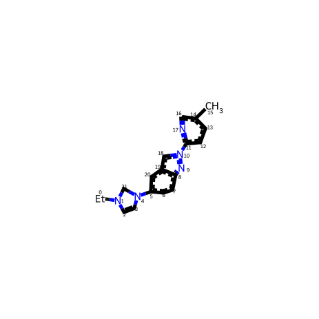 CCN1C=CN(c2ccc3nn(-c4ccc(C)cn4)cc3c2)C1